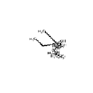 CCCCCCCC/C=C\CCCCCCCC(=O)N(CCCCCCCCCCCCCC)[C@@H]1O[C@H](CO)[C@@H](O)[C@H](O)[C@H]1NC(=O)CNC(=O)[C@H](C)NC(=O)OC(C)(C)C